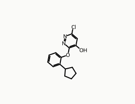 Oc1cc(Cl)nnc1Oc1ccccc1C1CCCC1